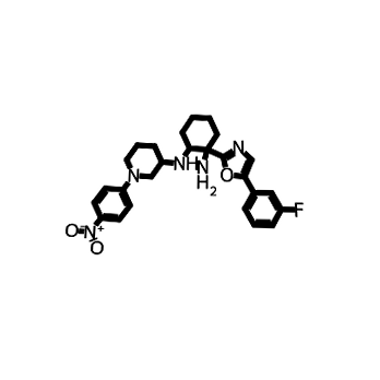 NC1(c2ncc(-c3cccc(F)c3)o2)CCCCC1NC1CCCN(c2ccc([N+](=O)[O-])cc2)C1